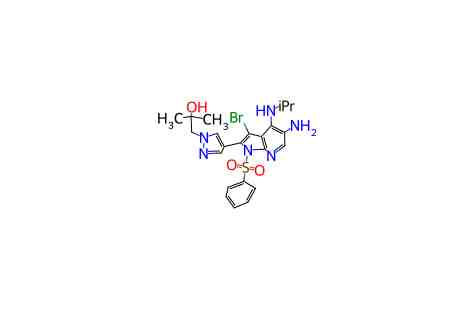 CC(C)Nc1c(N)cnc2c1c(Br)c(-c1cnn(CC(C)(C)O)c1)n2S(=O)(=O)c1ccccc1